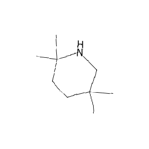 CC1(C)CCC(C)(C)NC1